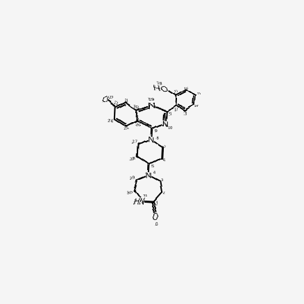 O=C1CCN(C2CCN(c3nc(-c4ccccc4O)nc4cc(Cl)ccc34)CC2)CCN1